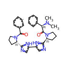 CN(C)[C@@H](C(=O)N1CCC[C@H]1c1ncc(-c2cnc([C@@H]3CCCN3C(=O)c3c[c]ccc3)[nH]2)[nH]1)c1ccccc1